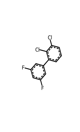 Fc1cc(F)cc(-c2cccc(Cl)c2Cl)c1